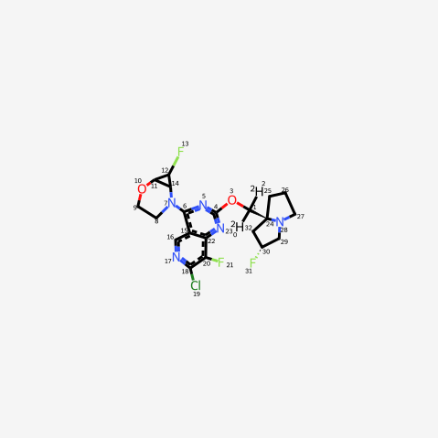 [2H]C([2H])(Oc1nc(N2CCOC3C(F)C32)c2cnc(Cl)c(F)c2n1)[C@@]12CCCN1C[C@H](F)C2